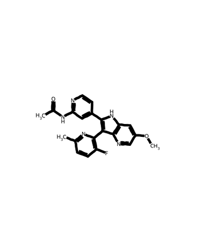 COc1cnc2c(-c3nc(C)ccc3F)c(-c3ccnc(NC(C)=O)c3)[nH]c2c1